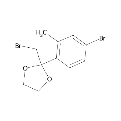 Cc1cc(Br)ccc1C1(CBr)OCCO1